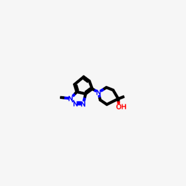 Cn1nnc2c(N3CCC(C)(O)CC3)cccc21